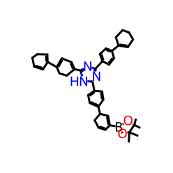 CC1(C)OB(C2=CC(c3ccc(C4N=C(c5ccc(C6=CCCCC6)cc5)N=C(C5=CC=C(C6=CCCC=C6)CC5)N4)cc3)CC=C2)OC1(C)C